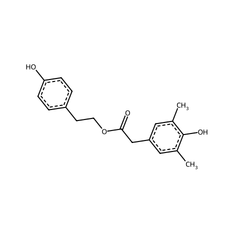 Cc1cc(CC(=O)OCCc2ccc(O)cc2)cc(C)c1O